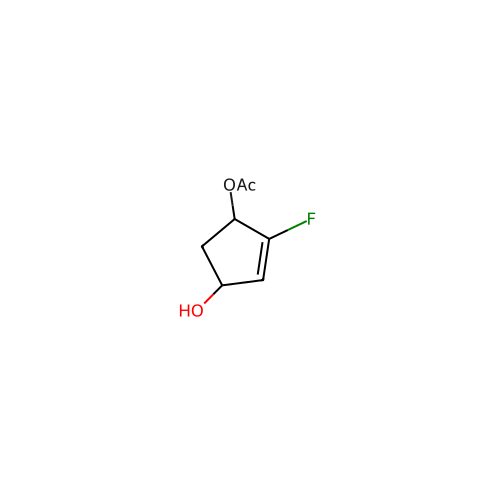 CC(=O)OC1CC(O)C=C1F